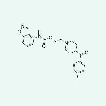 O=C(Nc1cccc2oncc12)OCCN1CCC(C(=O)c2ccc(I)cc2)CC1